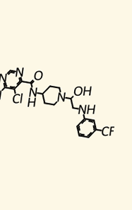 Nc1ncnc(C(=O)NC2CCN(C(O)CNc3cccc(C(F)(F)F)c3)CC2)c1Cl